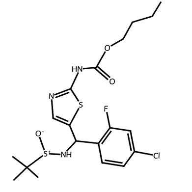 CCCCOC(=O)Nc1ncc(C(N[S+]([O-])C(C)(C)C)c2ccc(Cl)cc2F)s1